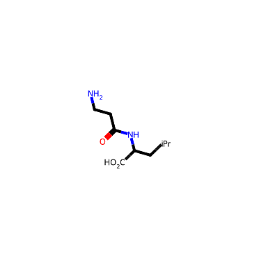 CC(C)CC(NC(=O)CCN)C(=O)O